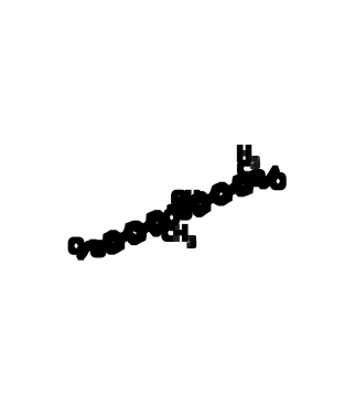 Cc1cc(C2=CCC(c3ccc(OCC4CO4)cc3)CC2)ccc1OCC(O)Oc1ccc(C2CC=C(c3ccc(OCC4CO4)c(C)c3)CC2)cc1